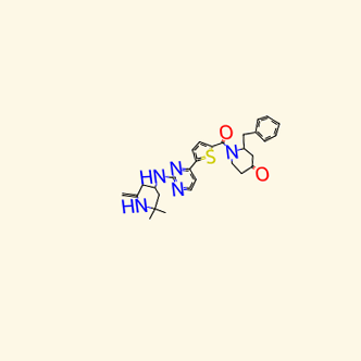 C=C1CC(Nc2nccc(-c3ccc(C(=O)N4CCC(=O)CC4Cc4ccccc4)s3)n2)CC(C)(C)N1